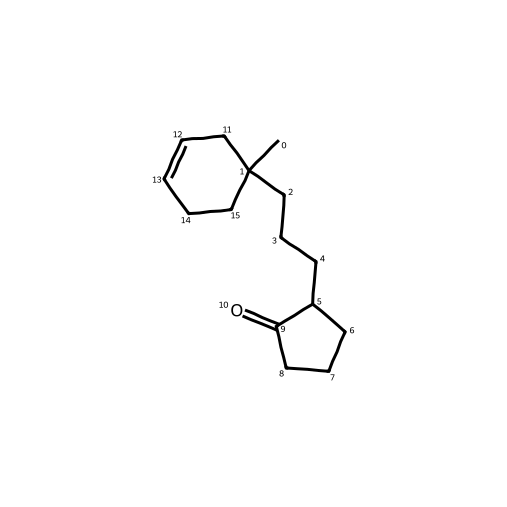 CC1(CCCC2CCCC2=O)CC=CCC1